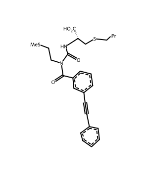 CSCCN(C(=O)N[C@@H](CSCC(C)C)C(=O)O)C(=O)c1cccc(C#Cc2ccccc2)c1